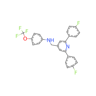 Fc1ccc(-c2cc(CNc3ccc(OC(F)(F)F)cc3)cc(-c3ccc(F)cc3)n2)cc1